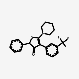 O=C1C(c2cccc(C(F)(F)F)c2)=C(N2CCCCC2)SC1c1ccccc1